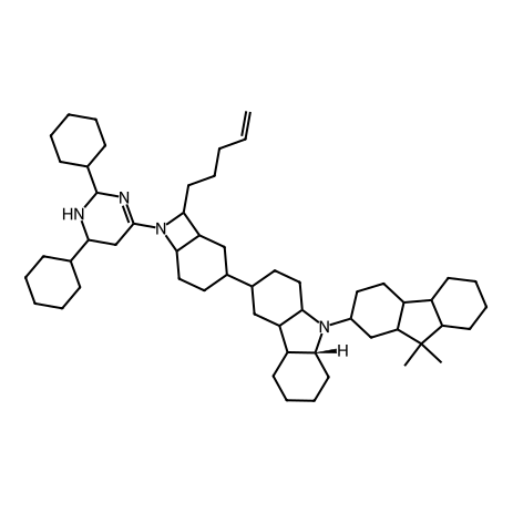 C=CCCCC1C2CC(C3CCC4C(C3)C3CCCC[C@H]3N4C3CCC4C5CCCCC5C(C)(C)C4C3)CCC2N1C1=NC(C2CCCCC2)NC(C2CCCCC2)C1